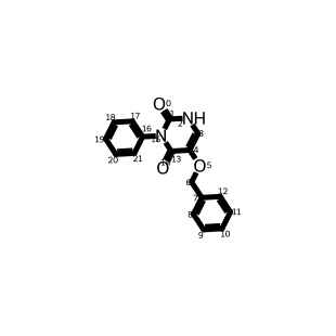 O=c1[nH]cc(OCc2ccccc2)c(=O)n1-c1ccccc1